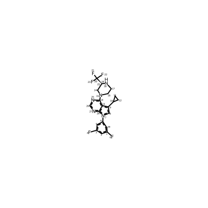 Fc1cc(F)cc(-n2cc(C3CC3)c3c(N4CCN[C@H](C(F)(F)F)C4)ncnc32)c1